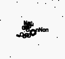 C=COOOOc1ccc(CCCCCCCCC)cc1.CCCCS(=O)(=O)[O-].[Na+]